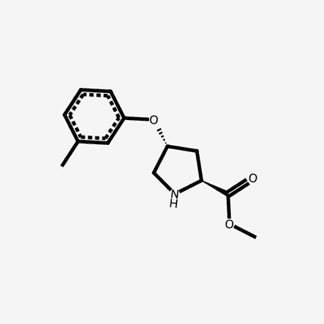 COC(=O)[C@@H]1C[C@@H](Oc2cccc(C)c2)CN1